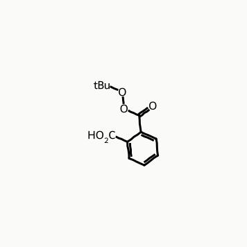 CC(C)(C)OOC(=O)c1ccccc1C(=O)O